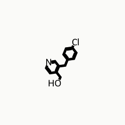 OCc1ccncc1Cc1ccc(Cl)cc1